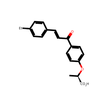 CCc1ccc(/C=C/C(=O)c2ccc(O[C@H](C)C(=O)O)cc2)cc1